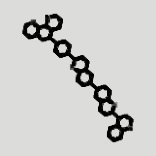 c1cnc2c(c1)cc(-c1ccc(-c3ccc4cc(-c5ccc6nc(-c7ccnc8ccccc78)ccc6c5)ccc4n3)cc1)c1cccnc12